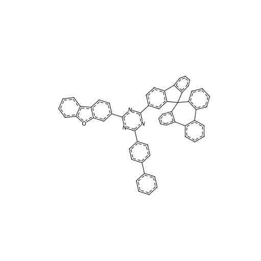 c1ccc(-c2ccc(-c3nc(-c4ccc5c(c4)C4(c6ccccc6-c6ccccc6-c6ccccc64)c4ccccc4-5)nc(-c4ccc5c(c4)oc4ccccc45)n3)cc2)cc1